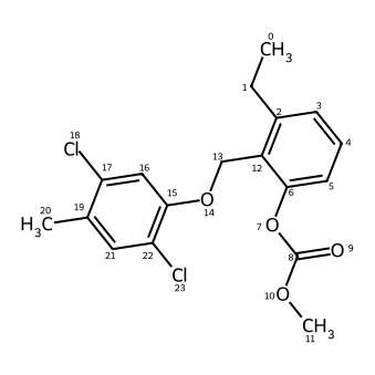 CCc1cccc(OC(=O)OC)c1COc1cc(Cl)c(C)cc1Cl